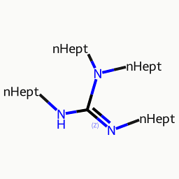 CCCCCCC/N=C(/NCCCCCCC)N(CCCCCCC)CCCCCCC